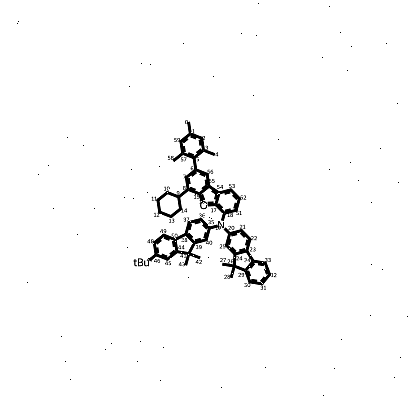 Cc1cc(C)c(-c2cc(C3CCCCC3)c3oc4c(N(c5ccc6c(c5)C(C)(C)c5ccccc5-6)c5ccc6c(c5)C(C)(C)c5cc(C(C)(C)C)ccc5-6)cccc4c3c2)c(C)c1